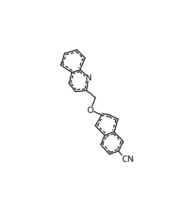 N#Cc1ccc2cc(OCc3ccc4ccccc4n3)ccc2c1